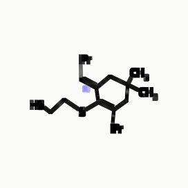 CC(C)/C=C1\CC(C)(C)CC(C(C)C)=C1SCCS